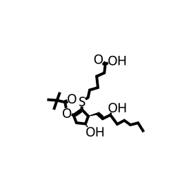 CCCCC[C@H](O)C=C[C@@H]1C(SCCCCCC(=O)O)=C(OC(=O)C(C)(C)C)C[C@H]1O